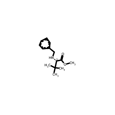 COC(=O)[C@@H](NCc1ccccc1)C(C)(C)C